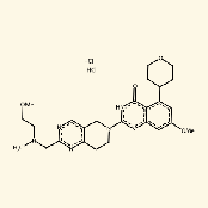 COCCN(C)Cc1ncc2c(n1)CCN(c1nc3cc(OC)cc(C4CCOCC4)c3c(=O)[nH]1)C2.Cl.Cl